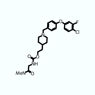 CNC(=O)CNC(=O)OCCC1CCN(Cc2ccc(Oc3ccc(Cl)c(F)c3)cc2)CC1